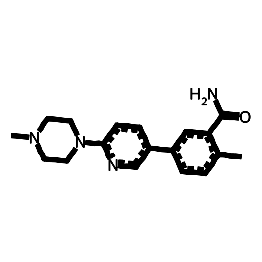 Cc1ccc(-c2ccc(N3CCN(C)CC3)nc2)cc1C(N)=O